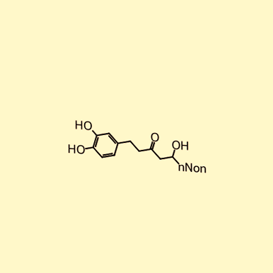 CCCCCCCCCC(O)CC(=O)CCc1ccc(O)c(O)c1